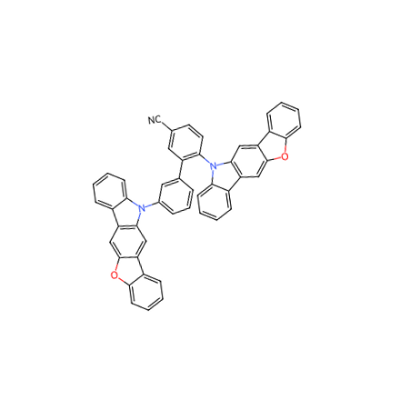 N#Cc1ccc(-n2c3ccccc3c3cc4oc5ccccc5c4cc32)c(-c2cccc(-n3c4ccccc4c4cc5oc6ccccc6c5cc43)c2)c1